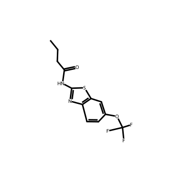 CCCC(=O)Nc1nc2ccc(OC(F)(F)F)cc2s1